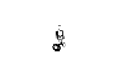 O=C(N1CC2CNCC(C2)C1)C12CCC(CC1)C2